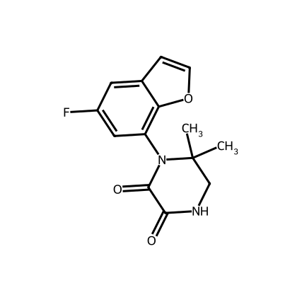 CC1(C)CNC(=O)C(=O)N1c1cc(F)cc2ccoc12